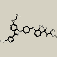 CCNc1cc2c(cn1)c(-c1cnn(C)c1)nn2C1CCC(Oc2cccc(C(=O)NC(C)C)c2C)CC1